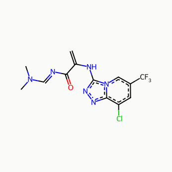 C=C(Nc1nnc2c(Cl)cc(C(F)(F)F)cn12)C(=O)/N=C/N(C)C